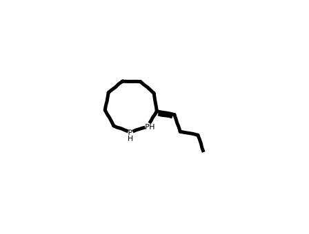 CCCC=C1CCCCCCPP1